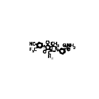 CC12CN(c3cccc(S(N)(=O)=O)c3)CC(C)(O1)C1C(=O)N(c3ccc(C#N)c(C(F)(F)F)c3)C(=O)C12